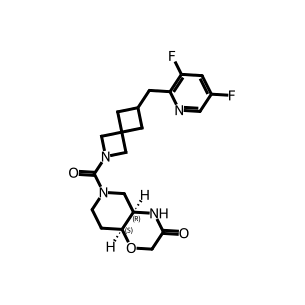 O=C1CO[C@H]2CCN(C(=O)N3CC4(CC(Cc5ncc(F)cc5F)C4)C3)C[C@H]2N1